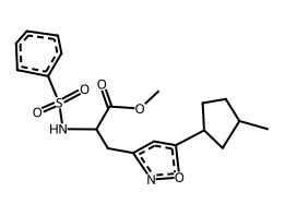 COC(=O)C(Cc1cc(C2CCC(C)C2)on1)NS(=O)(=O)c1ccccc1